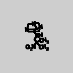 CC(C)(CNC12CN3CN(CN(C3)C1)C2)[N+](=O)[O-]